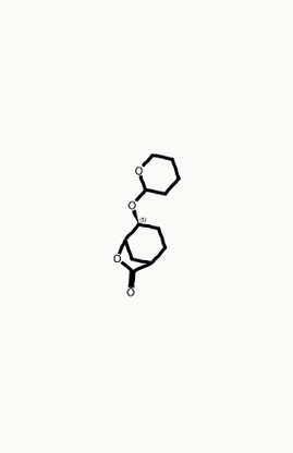 O=C1OC2CC1CC[C@@H]2OC1CCCCO1